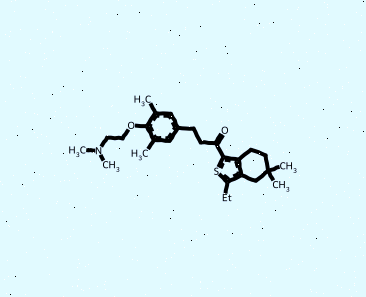 CCc1sc(C(=O)CCc2cc(C)c(OCCN(C)C)c(C)c2)c2c1CC(C)(C)CC2